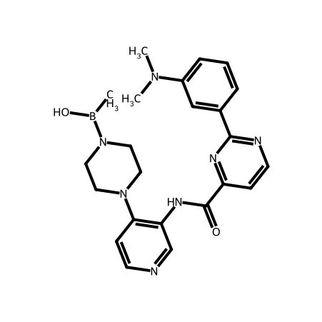 CB(O)N1CCN(c2ccncc2NC(=O)c2ccnc(-c3cccc(N(C)C)c3)n2)CC1